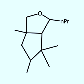 CCCC1OCC2(C)CC(C)C(C)(C)C12